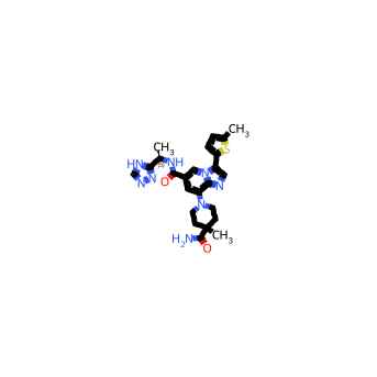 Cc1ccc(-c2cnc3c(N4CCC(C)(C(N)=O)CC4)cc(C(=O)N[C@@H](C)c4nnc[nH]4)cn23)s1